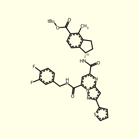 Cc1c(C(=O)OC(C)(C)C)ccc2c1CC[C@@H]2NC(=O)c1cc(C(=O)NCc2ccc(F)c(F)c2)n2nc(-c3cccs3)cc2n1